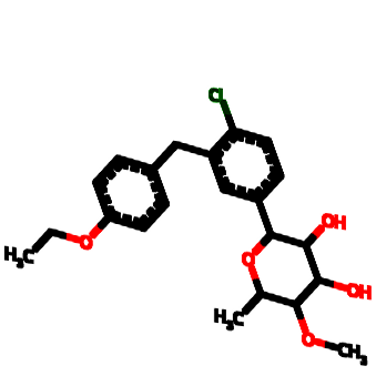 CCOc1ccc(Cc2cc(C3OC(C)C(OC)C(O)C3O)ccc2Cl)cc1